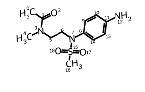 CC(=O)N(C)CCN(c1ccc(N)cc1)S(C)(=O)=O